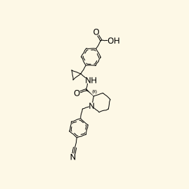 N#Cc1ccc(CN2CCCC[C@@H]2C(=O)NC2(c3ccc(C(=O)O)cc3)CC2)cc1